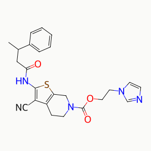 CC(CC(=O)Nc1sc2c(c1C#N)CCN(C(=O)OCCn1ccnc1)C2)c1ccccc1